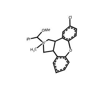 COC(C(C)C)[N+]1(C)CC2c3ccccc3Oc3ccc(Cl)cc3C2C1